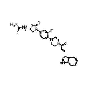 NC(=S)NC[C@H]1CN(c2ccc(N3CCN(C(=O)C=Cc4c[nH]c5ccccc45)CC3)c(F)c2)C(=O)O1